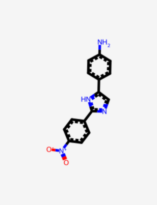 Nc1ccc(-c2cnc(-c3ccc([N+](=O)[O-])cc3)[nH]2)cc1